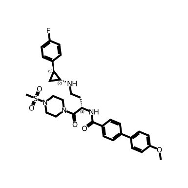 COc1ccc(-c2ccc(C(=O)N[C@@H](CCN[C@@H]3C[C@H]3c3ccc(F)cc3)C(=O)N3CCN(S(C)(=O)=O)CC3)cc2)cc1